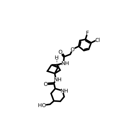 O=C(COc1ccc(Cl)c(F)c1)N[C@H]1CC2(NC(=O)C3CC(CO)CCN3)CC1C2